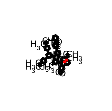 Cc1cc2c3c(c1)N(c1cc4c(cc1-c1ccccc1)OCO4)c1ccc(C(C)(C)C)cc1B3c1ccc(-c3ccc4c(c3)oc3ccccc34)cc1N2c1cc(-c2ccc(C(C)(C)C)cc2)cc(-c2ccc(C(C)(C)C)cc2)c1